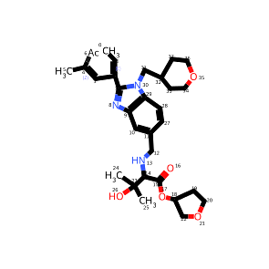 C/C=C(\C=C(\C)C(C)=O)c1nc2cc(CNC(C(=O)OC3CCOC3)C(C)(C)O)ccc2n1CC1CCOCC1